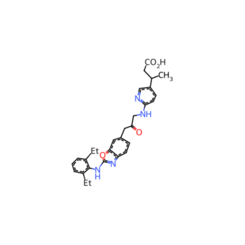 CCc1cccc(CC)c1Nc1nc2ccc(CC(=O)CNc3ccc(C(C)CC(=O)O)cn3)cc2o1